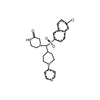 O=C1CN(C(C2CCN(c3ccncc3)CC2)S(=O)(=O)c2ccc3cc(Cl)ccc3c2)CCN1